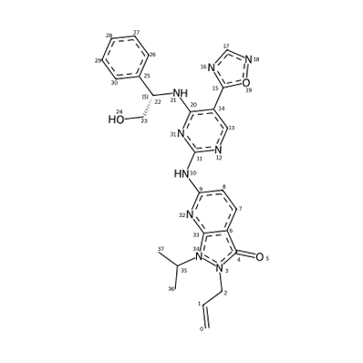 C=CCn1c(=O)c2ccc(Nc3ncc(-c4ncno4)c(N[C@H](CO)c4ccccc4)n3)nc2n1C(C)C